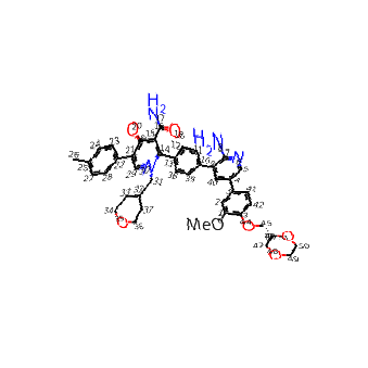 COc1cc(-c2cnc(N)c(-c3ccc(-c4c(C(N)=O)c(=O)c(-c5ccc(C)cc5)cn4CC4CCOCC4)cc3)c2)ccc1OC[C@H]1COCCO1